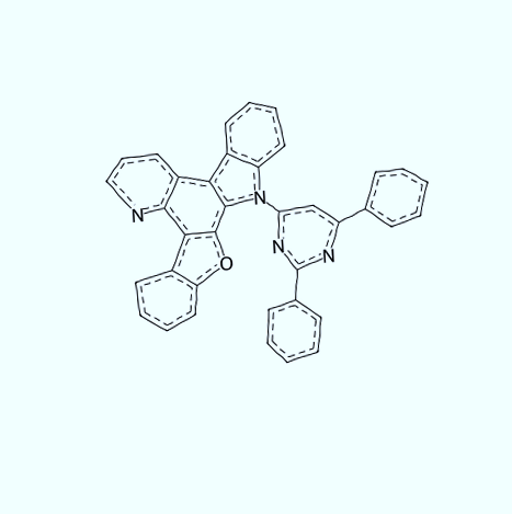 c1ccc(-c2cc(-n3c4ccccc4c4c5cccnc5c5c6ccccc6oc5c43)nc(-c3ccccc3)n2)cc1